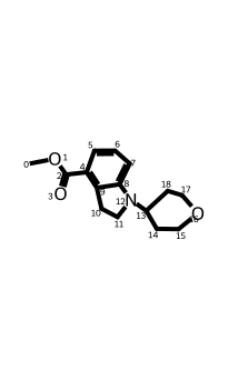 COC(=O)c1cccc2c1CCN2C1CCOCC1